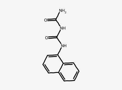 NC(=O)NC(=O)Nc1cccc2ccccc12